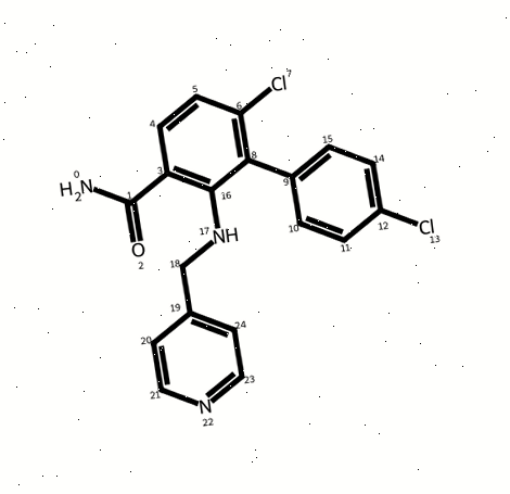 NC(=O)c1ccc(Cl)c(-c2ccc(Cl)cc2)c1NCc1ccncc1